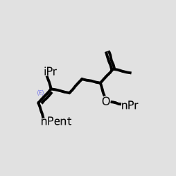 C=C(C)C(CC/C(=C\CCCCC)C(C)C)OCCC